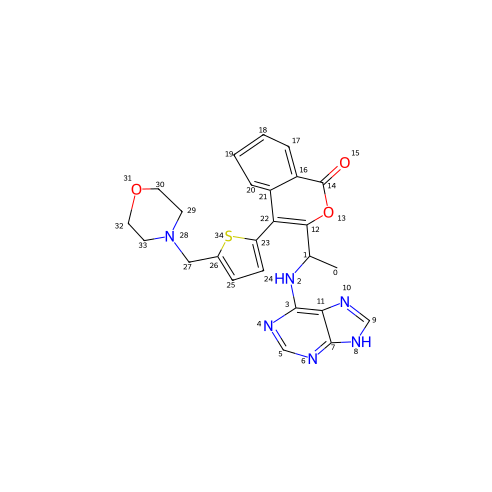 CC(Nc1ncnc2[nH]cnc12)c1oc(=O)c2ccccc2c1-c1ccc(CN2CCOCC2)s1